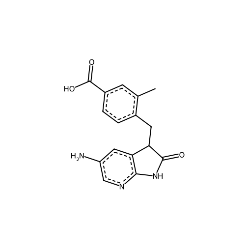 Cc1cc(C(=O)O)ccc1CC1C(=O)Nc2ncc(N)cc21